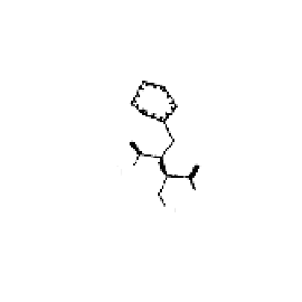 CCC(C(=O)O)=C(Cc1ccccc1)C(=O)O.[Na].[Na]